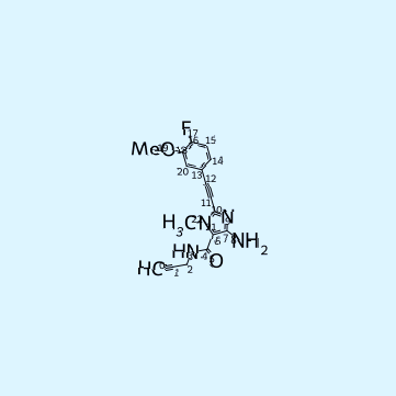 C#CCNC(=O)c1c(N)nc(C#Cc2ccc(F)c(OC)c2)n1C